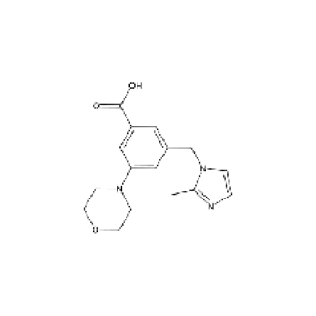 Cc1nccn1Cc1cc(C(=O)O)cc(N2CCOCC2)c1